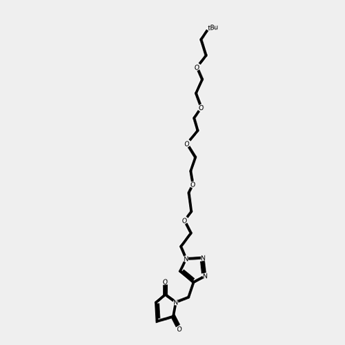 CC(C)(C)CCOCCOCCOCCOCCOCCn1cc(CN2C(=O)C=CC2=O)nn1